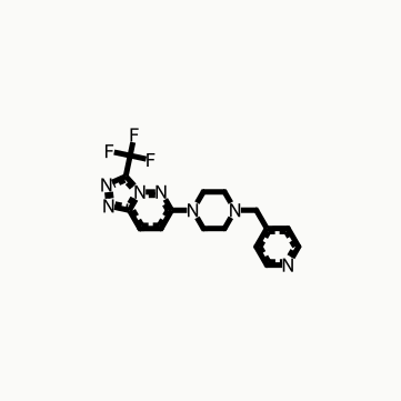 FC(F)(F)c1nnc2ccc(N3CCN(Cc4ccncc4)CC3)nn12